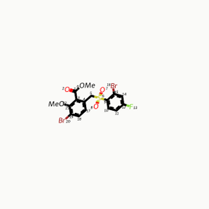 COC(=O)c1c(CS(=O)(=O)c2ccc(F)cc2Br)ccc(Br)c1OC